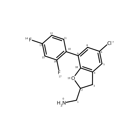 NCC1Cc2cc(Cl)cc(-c3ccc(F)cc3F)c2O1